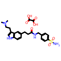 CN(C)CCc1c[nH]c2ccc(CCC(=O)NCc3ccc(S(N)(=O)=O)cc3)cc12.O=C(O)C(=O)O